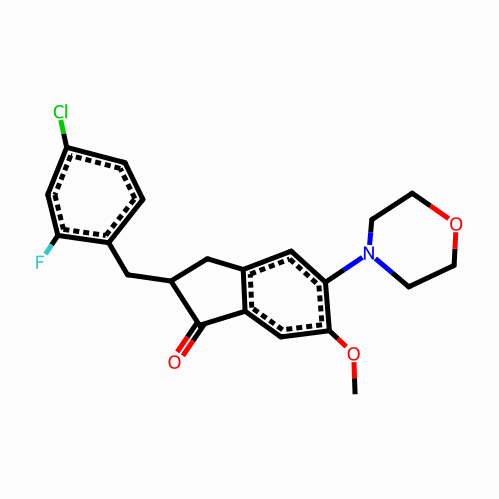 COc1cc2c(cc1N1CCOCC1)CC(Cc1ccc(Cl)cc1F)C2=O